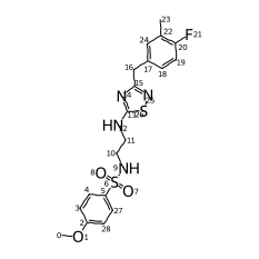 COc1ccc(S(=O)(=O)NCCNc2nc(Cc3ccc(F)c(C)c3)ns2)cc1